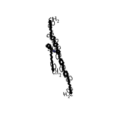 C=CC(=O)OCCCCCCN(/N=C/c1cc(OC(=O)C2CCC(OC(=O)C3CCC(C(=O)OCCCCOC(=O)C=C)CC3)CC2)ccc1OC(=O)C1CCC(OC(=O)C2CCC(C(=O)OCCCCOC(=O)C=C)CC2)CC1)c1nc2ccccc2s1